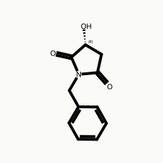 O=C1C[C@@H](O)C(=O)N1Cc1ccccc1